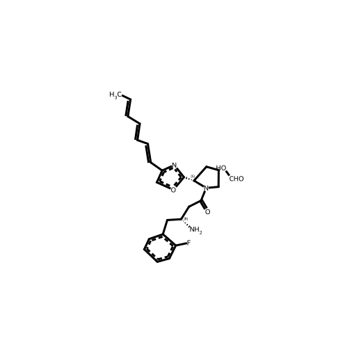 CC=CC=CC=Cc1coc([C@@H]2CCCN2C(=O)C[C@H](N)Cc2ccccc2F)n1.O=CO